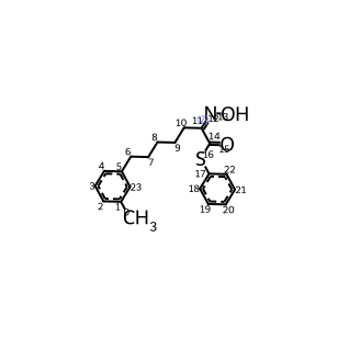 Cc1cccc(CCCCC/C(=N/O)C(=O)Sc2ccccc2)c1